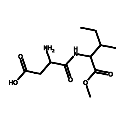 CCC(C)C(NC(=O)C(N)CC(=O)O)C(=O)OC